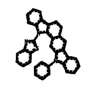 c1ccc(-n2c3ccccc3c3cc4ccc5c6ccccc6n(-c6nc7ccccc7s6)c5c4cc32)cc1